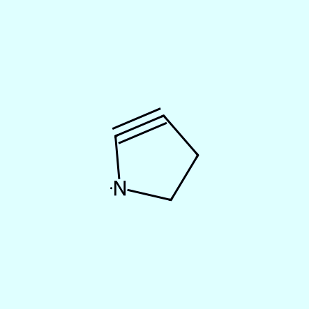 C1#C[N]CC1